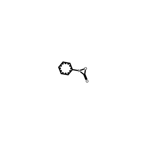 O=C1ON1c1ccccc1